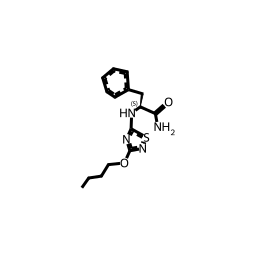 CCCCOc1nsc(N[C@@H](Cc2ccccc2)C(N)=O)n1